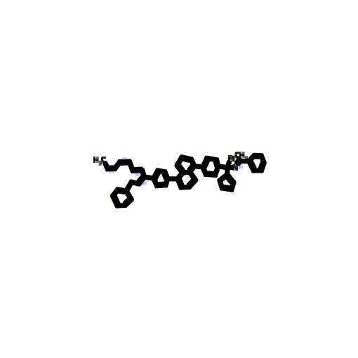 C\C=C/C=C\C=C\C(=C/Cc1ccccc1)c1ccc(-c2cccc3c(-c4ccc(C(CC)(/N=C(\C)c5ccccc5)C5=CC=CC5)cc4)cccc23)cc1